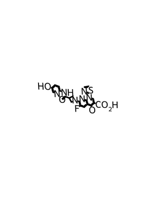 O=C(O)c1cn(-c2nccs2)c2nc(N3CC(C(=O)Nc4ccc(O)cn4)C3)c(F)cc2c1=O